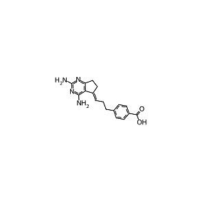 Nc1nc(N)c2c(n1)CCC2=CCCc1ccc(C(=O)O)cc1